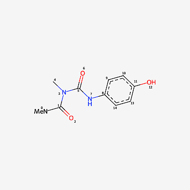 CNC(=O)N(C)C(=O)Nc1ccc(O)cc1